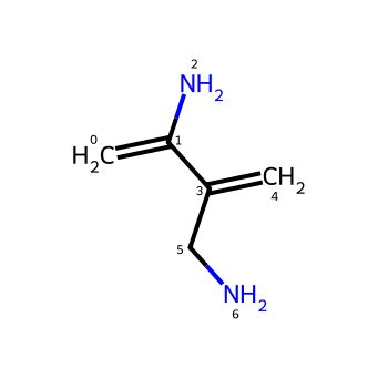 C=C(N)C(=C)CN